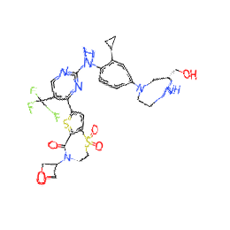 O=C1c2sc(-c3nc(Nc4ccc(N5CCN[C@@H](CO)C5)cc4C4CC4)ncc3C(F)(F)F)cc2S(=O)(=O)CCN1C1COC1